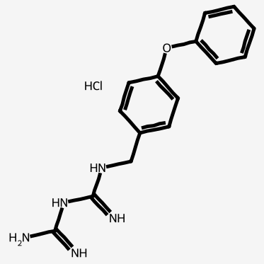 Cl.N=C(N)NC(=N)NCc1ccc(Oc2ccccc2)cc1